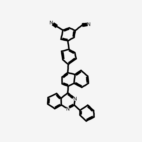 N#Cc1cc(C#N)cc(-c2ccc(-c3ccc(-c4nc(-c5ccccc5)nc5ccccc45)c4ccccc34)cc2)c1